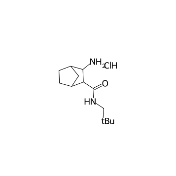 CC(C)(C)CNC(=O)C1C2CCC(C2)C1N.Cl